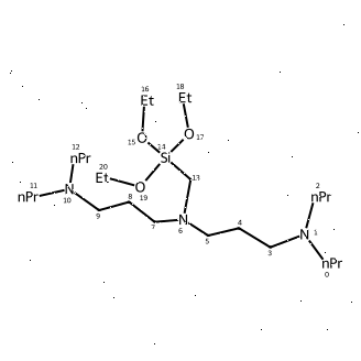 CCCN(CCC)CCCN(CCCN(CCC)CCC)C[Si](OCC)(OCC)OCC